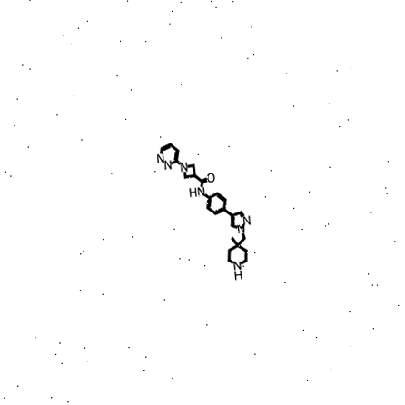 CC1(Cn2cc(-c3ccc(NC(=O)C4CN(c5cccnn5)C4)cc3)cn2)CCNCC1